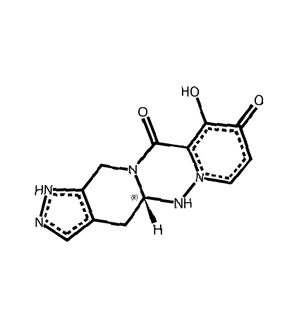 O=C1c2c(O)c(=O)ccn2N[C@@H]2Cc3cn[nH]c3CN12